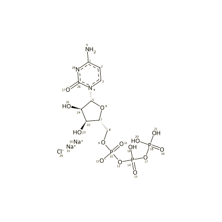 Nc1ccn([C@@H]2O[C@H](COP(=O)([O-])OP(=O)(O)OP(=O)(O)O)[C@@H](O)[C@H]2O)c(=O)n1.[Cl-].[Na+].[Na+]